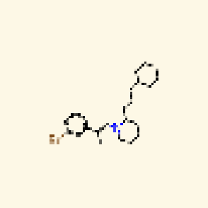 C/C(=C\N1CCCCC1CCCC1CCCCC1)c1cccc(Br)c1